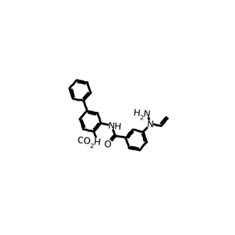 C=CN(N)c1cccc(C(=O)Nc2cc(-c3ccccc3)ccc2C(=O)O)c1